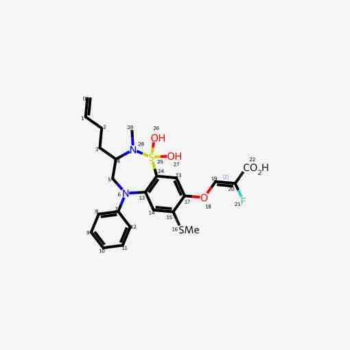 C=CCCC1CN(c2ccccc2)c2cc(SC)c(O/C=C(\F)C(=O)O)cc2S(O)(O)N1C